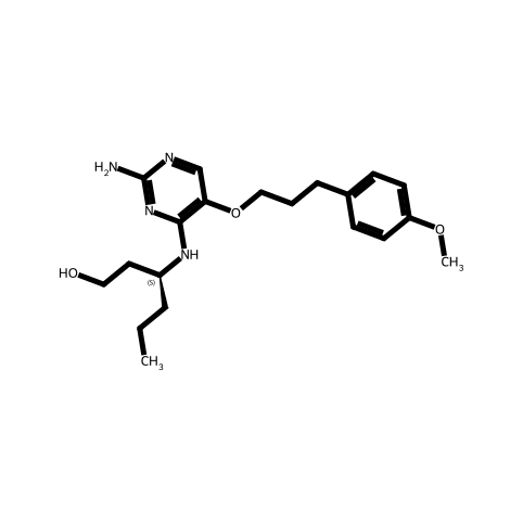 CCC[C@@H](CCO)Nc1nc(N)ncc1OCCCc1ccc(OC)cc1